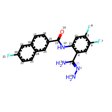 N/N=C(\N)c1cc(F)c(F)cc1NC(=O)c1ccc2cc(F)ccc2c1